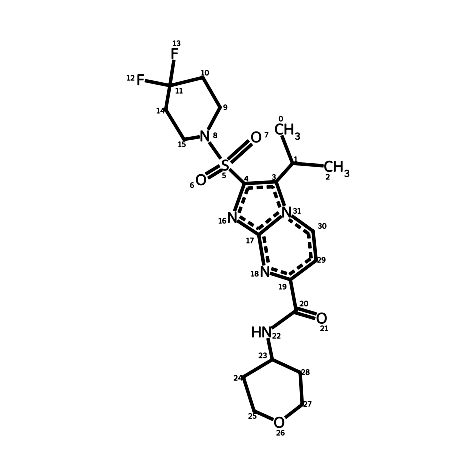 CC(C)c1c(S(=O)(=O)N2CCC(F)(F)CC2)nc2nc(C(=O)NC3CCOCC3)ccn12